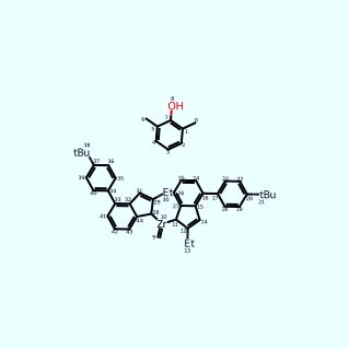 Cc1cccc(C)c1O.[CH2]=[Zr]([CH]1C(CC)=Cc2c(-c3ccc(C(C)(C)C)cc3)cccc21)[CH]1C(CC)=Cc2c(-c3ccc(C(C)(C)C)cc3)cccc21